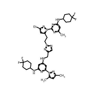 CCc1cc(CCn2ncc(CNc3cc(NC4CCC(F)(F)CC4)nc(-n4nc(C)cc4C)c3)n2)n(-c2nc(C)cc(NC3CCC(F)(F)CC3)n2)n1